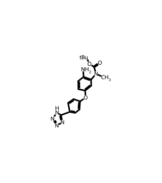 CN(C(=O)OC(C)(C)C)c1cc(Oc2ccc(-c3nnn[nH]3)cc2)ccc1N